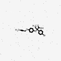 CC#CCOc1ccc(SC(CC)(C(=O)O)c2ccc(Br)cc2)cc1